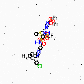 CC(C)OP(=O)(CN1CCN(CC[C@H](CSc2ccccc2)Nc2ccc(S(=O)(=O)NC(=O)c3ccc(N4CCN(CC5=C(c6ccc(Cl)cc6)CCC(C)(C)C5)CC4)cc3)cc2S(=O)(=O)C(F)(F)F)CC1)OC(C)C